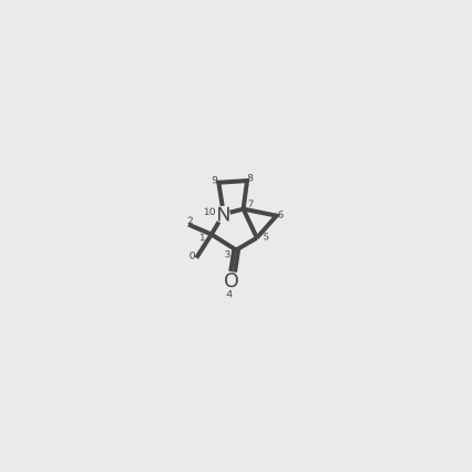 CC1(C)C(=O)C2CC23CCN13